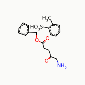 Cc1ccccc1S(=O)(=O)O.NCC(=O)CCC(=O)OCc1ccccc1